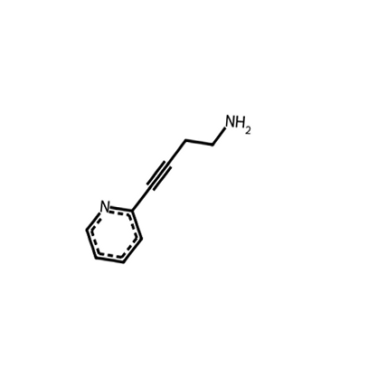 NCCC#Cc1ccccn1